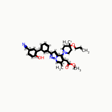 C=CCOC1(C)CCN(c2c(CC(=O)OC)c(C)cn3nc(-c4cccc(-c5cc(C#N)ccc5O)c4)cc23)CC1